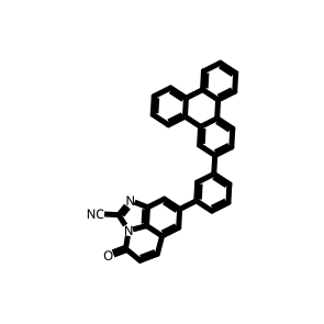 N#Cc1nc2cc(-c3cccc(-c4ccc5c6ccccc6c6ccccc6c5c4)c3)cc3ccc(=O)n1c32